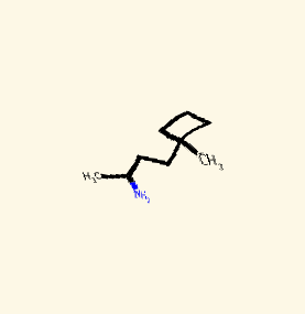 CC(N)CCC1(C)CCC1